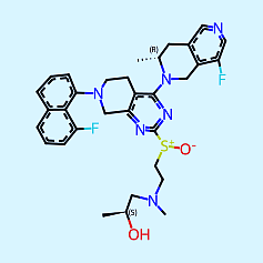 C[C@H](O)CN(C)CC[S+]([O-])c1nc2c(c(N3Cc4c(F)cncc4C[C@H]3C)n1)CCN(c1cccc3cccc(F)c13)C2